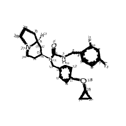 O=C(NCc1ccc(F)cc1F)N(Cc1ccc(OC2CC2)cc1)[C@H]1CCN2CCC[C@H]2C1